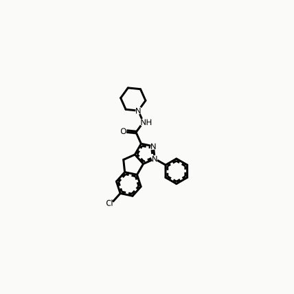 O=C(NN1CCCCC1)c1nn(-c2ccccc2)c2c1Cc1cc(Cl)ccc1-2